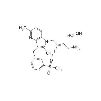 Cc1ccc2c(n1)c(Cc1cccc(S(C)(=O)=O)c1)c(C)n2C/C(F)=C/CN.Cl.Cl